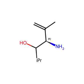 C=C(C)[C@@H](N)C(O)C(C)C